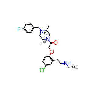 CC(=O)CNCCc1cc(Cl)ccc1OCC(=O)N1C[C@H](C)N(Cc2ccc(F)cc2)C[C@H]1C